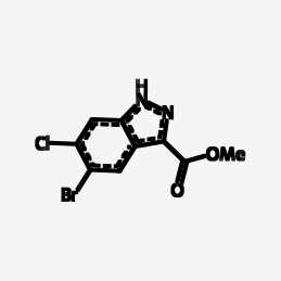 COC(=O)c1n[nH]c2cc(Cl)c(Br)cc12